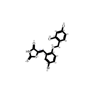 O=C1NC(=S)S/C1=C\c1cc(Br)ccc1OCc1ccc(Cl)cc1Cl